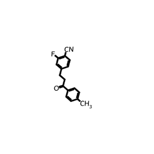 Cc1ccc(C(=O)CCc2ccc(C#N)c(F)c2)cc1